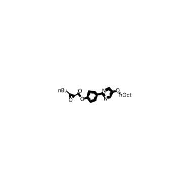 CCCCCCCCOc1cnc(-c2ccc(OC(=O)[C@H]3O[C@H]3CCCC)cc2)nc1